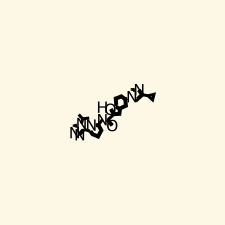 CC(C)n1cnnc1-c1cccc(NC(=O)c2cc3cc(-n4cnc(C5CC5)c4)ccc3o2)n1